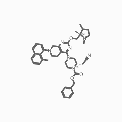 Cc1cccc2cccc(N3CCc4c(nc(OC[C@]5(C)C(C)CCN5C)nc4N4CCN(C(=O)OCc5ccccc5)[C@@H](CC#N)C4)C3)c12